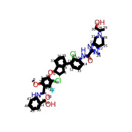 COc1cc(OC2CCc3c(-c4cccc(NC(=O)c5nc6c(n5C)CCN(C(C)CO)C6)c4Cl)cccc32)c(Cl)c(F)c1CNc1ccccc1C(=O)O